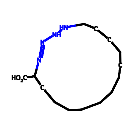 O=C(O)C1CCCCCCCCCCCCNNN=N1